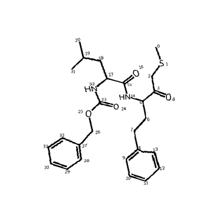 CSCC(=O)C(CCc1ccccc1)NC(=O)C(CC(C)C)NC(=O)OCc1ccccc1